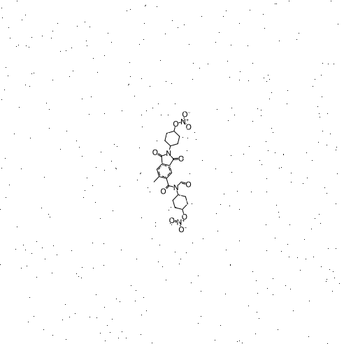 Cc1cc2c(cc1C(=O)N(C=O)C1CCC(O[N+](=O)[O-])CC1)C(=O)N(C1CCC(O[N+](=O)[O-])CC1)C2=O